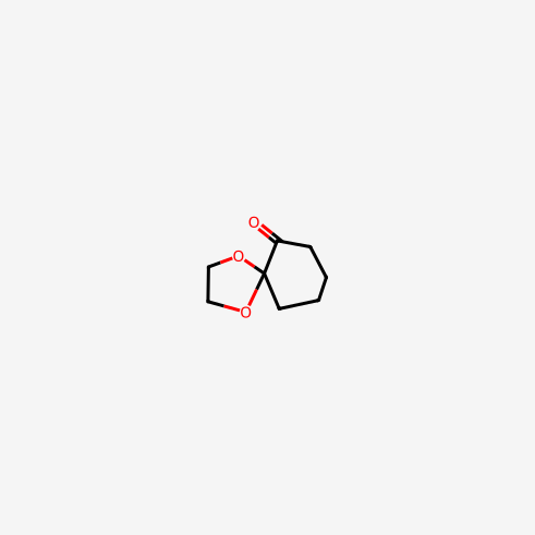 O=C1CCCCC12OCCO2